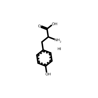 I.NC(Cc1ccc(O)cc1)C(=O)O